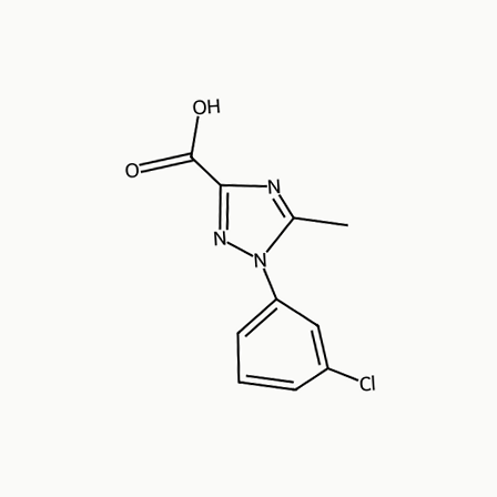 Cc1nc(C(=O)O)nn1-c1cccc(Cl)c1